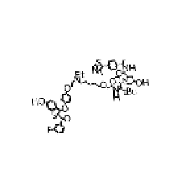 CCN(CCCCCOCC(=O)N[C@H](C(=O)N1CC(O)CC1C(=O)NC(C)c1ccc(-c2scnc2C)cc1)C(C)(C)C)CCOc1ccc(Oc2c(C(=O)c3cccc(F)c3)sc3cc(O)ccc23)cc1